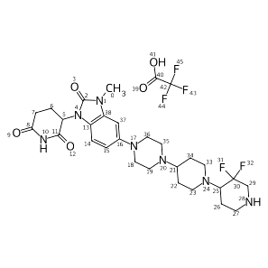 Cn1c(=O)n(C2CCC(=O)NC2=O)c2ccc(N3CCN(C4CCN(C5CCNCC5(F)F)CC4)CC3)cc21.O=C(O)C(F)(F)F